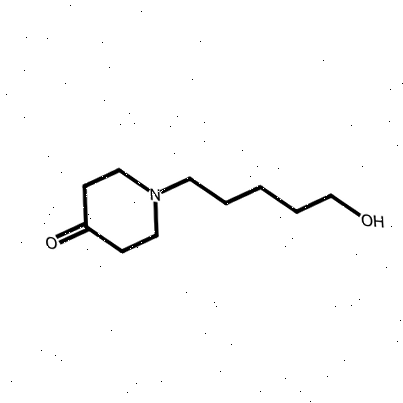 O=C1CCN(CCCCCO)CC1